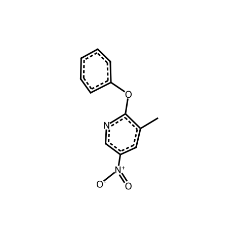 Cc1cc([N+](=O)[O-])cnc1Oc1ccccc1